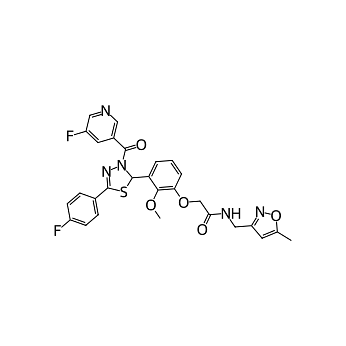 COc1c(OCC(=O)NCc2cc(C)on2)cccc1C1SC(c2ccc(F)cc2)=NN1C(=O)c1cncc(F)c1